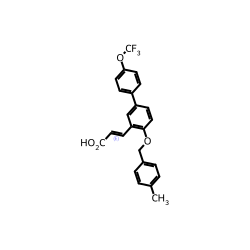 Cc1ccc(COc2ccc(-c3ccc(OC(F)(F)F)cc3)cc2/C=C/C(=O)O)cc1